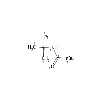 CCCCC(=O)NC(C)(C)C(C)C